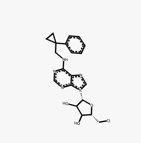 OC1C(O)[C@@H](CCl)O[C@H]1n1cnc2c(NCC3(c4ccccc4)CC3)ncnc21